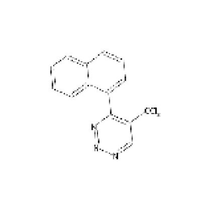 ClC(Cl)(Cl)c1cnnnc1-c1cccc2ccccc12